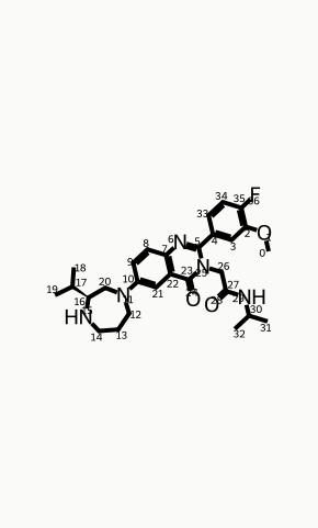 COc1cc(-c2nc3ccc(N4CCCN[C@@H](C(C)C)C4)cc3c(=O)n2CC(=O)NC(C)C)ccc1F